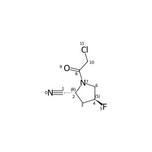 N#C[C@H]1C[C@H](F)CN1C(=O)CCl